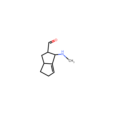 CNC1C2=CCCC2CC1C=O